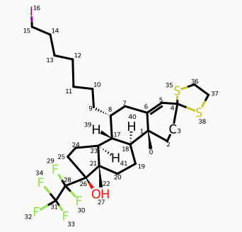 C[C@]12CCC3(C=C1C[C@@H](CCCCCCCI)[C@@H]1[C@@H]2CC[C@@]2(C)[C@H]1CC[C@@]2(O)C(F)(F)C(F)(F)F)SCCS3